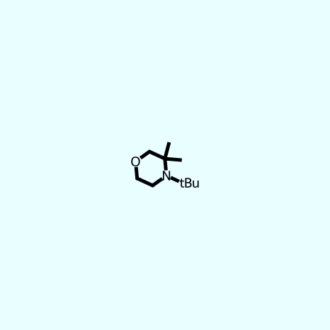 CC(C)(C)N1CCOCC1(C)C